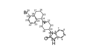 O=c1[nH]c2ccccc2n1C1CCN(C2CCCc3c(Br)cccc32)CC1